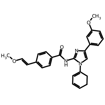 CO/C=C/c1ccc(C(=O)Nc2nc(-c3cccc(OC)c3)cn2C2=CC=CCC2)cc1